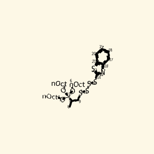 CCCCCCCCO[Si](OCCCCCCCC)(OCCCCCCCC)C(C)CSSSSc1nc2ccccc2s1